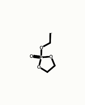 [CH2]COP1(=O)OCCO1